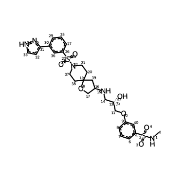 CNS(=O)(=O)c1cccc(OC[C@@H](O)CNC2COC3(CCN(S(=O)(=O)c4cccc(-c5cc[nH]n5)c4)CC3)C2)c1